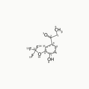 CCC(=O)c1ccc(O)c(OC(F)(F)F)c1